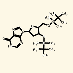 CC(C)(C)[Si](C)(C)OCC1OC(n2cnc3c(=O)[nH]cnc32)CC1O[Si](C)(C)C(C)(C)C